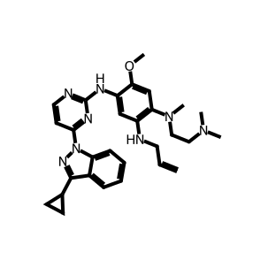 C=CCNc1cc(Nc2nccc(-n3nc(C4CC4)c4ccccc43)n2)c(OC)cc1N(C)CCN(C)C